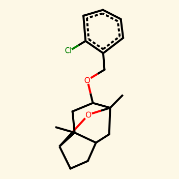 CC12CC3CCC(O1)C3(C)CC2OCc1ccccc1Cl